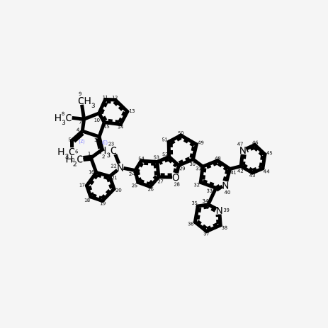 C=C(/C=C1\C(=C/C)C(C)(C)c2ccccc21)c1ccccc1N(C)c1ccc2oc3c(-c4cc(-c5ccccn5)nc(-c5ccccn5)c4)cccc3c2c1